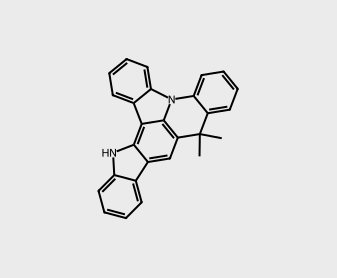 CC1(C)c2ccccc2-n2c3ccccc3c3c4[nH]c5ccccc5c4cc1c32